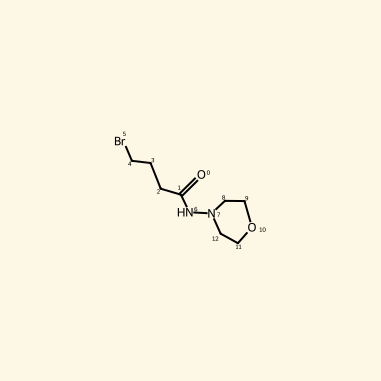 O=C(CCCBr)NN1CCOCC1